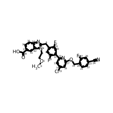 COCCn1c(Cc2cc(F)c(-c3cc(Cl)cc(OCc4ccc(C#N)cc4F)n3)cc2F)nc2ccc(C(=O)O)cc21